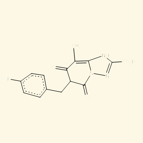 CC1=C2NC(C(=O)O)=NN2C(=O)C(Cc2ccc(F)cc2)C1=O